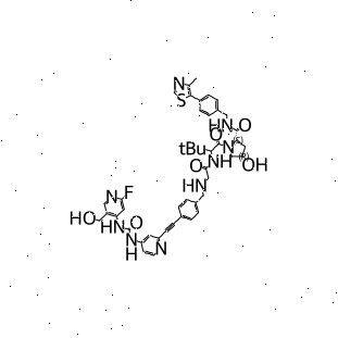 Cc1ncsc1-c1ccc(CNC(=O)[C@@H]2C[C@@H](O)CN2C(=O)C(NC(=O)CNCc2ccc(C#Cc3cc(NC(=O)Nc4cc(F)ncc4CO)ccn3)cc2)C(C)(C)C)cc1